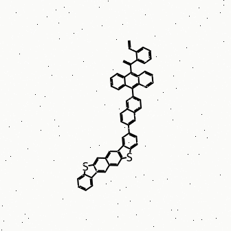 C=Cc1ccccc1C(=C)c1c2ccccc2c(-c2ccc3cc(-c4ccc5sc6cc7cc8c(cc7cc6c5c4)sc4ccccc48)ccc3c2)c2ccccc12